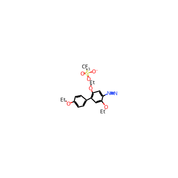 CCOc1ccc(-c2cc(OCC)c([N+]#N)cc2OCC)cc1.O=S(=O)([O-])C(F)(F)F